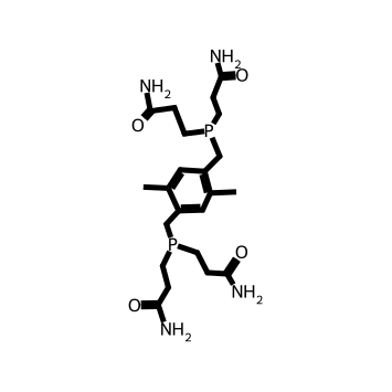 Cc1cc(CP(CCC(N)=O)CCC(N)=O)c(C)cc1CP(CCC(N)=O)CCC(N)=O